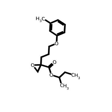 CCC(C)OC(=O)C1(CCCOc2cccc(C)c2)CO1